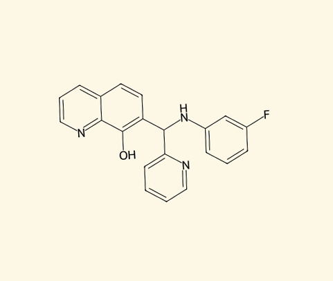 Oc1c(C(Nc2cccc(F)c2)c2ccccn2)ccc2cccnc12